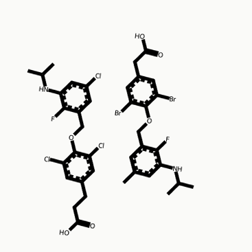 CC(C)Nc1cc(Cl)cc(COc2c(Cl)cc(CCC(=O)O)cc2Cl)c1F.Cc1cc(COc2c(Br)cc(CC(=O)O)cc2Br)c(F)c(NC(C)C)c1